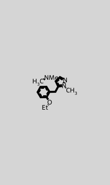 CCOc1ccccc1Cc1ccnn1C.CNC